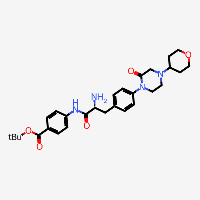 CC(C)(C)OC(=O)c1ccc(NC(=O)[C@@H](N)Cc2ccc(N3CCN(C4CCOCC4)CC3=O)cc2)cc1